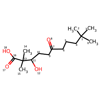 CC(C)(C)CCCC(=O)CCC(O)C(C)(C)C(=O)O